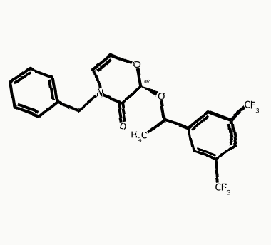 CC(O[C@@H]1OC=CN(Cc2ccccc2)C1=O)c1cc(C(F)(F)F)cc(C(F)(F)F)c1